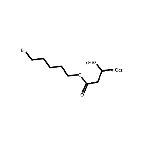 CCCCCCCCC(CCCCCC)CC(=O)OCCCCCBr